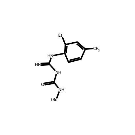 CCc1cc(C(F)(F)F)ccc1NC(=N)NC(=O)NC(C)(C)C